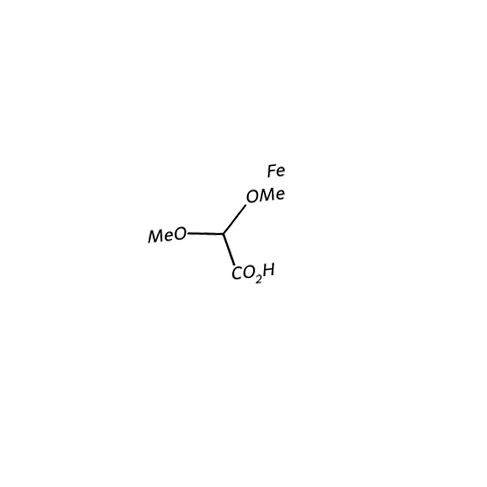 COC(OC)C(=O)O.[Fe]